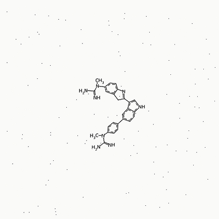 CN(C(=N)N)c1ccc(-c2ccc3[nH]cc(C4=Nc5ccc(N(C)C(=N)N)cc5C4)c3c2)cc1